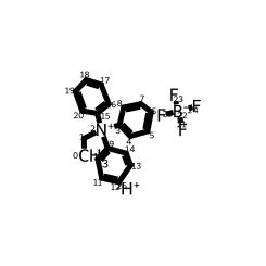 CC[N+](c1ccccc1)(c1ccccc1)c1ccccc1.F[B-](F)(F)F.[H+]